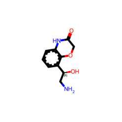 NC[C@H](O)c1cccc2c1OCC(=O)N2